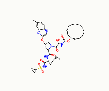 BC1CC1(NC(=O)C1CC(Oc2cnc3ccc(C)cc3n2)CN1C(=O)C(O)NC(=O)OC1CCCCCCCCCCC1)C(=O)NS(=O)(=O)C1CC1